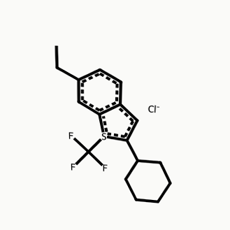 CCc1ccc2cc(C3CCCCC3)[s+](C(F)(F)F)c2c1.[Cl-]